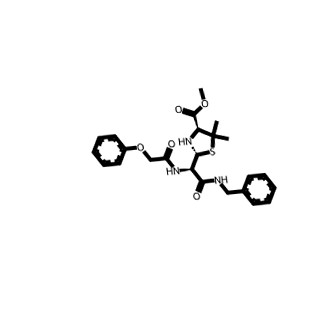 COC(=O)[C@@H]1N[C@@H]([C@H](NC(=O)COc2ccccc2)C(=O)NCc2ccccc2)SC1(C)C